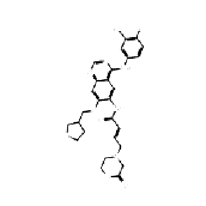 C[C@@H]1CN(CC=CC(=O)Nc2cc3c(Nc4ccc(F)c(Cl)c4)ncnc3cc2OCC2CCOC2)CC(=O)O1